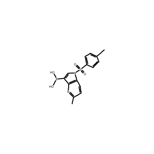 Cc1ccc(S(=O)(=O)n2cc(B(O)O)c3nc(C)ccc32)cc1